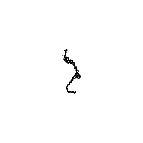 CCCCC/C=C\C/C=C\CCCCCCCCOCOCC(CN1CCCCC1)OCCOCCO[C@H]1CC[C@@]2(C)C(=CC[C@@H]3C2CC[C@]2(C)[C@@H]([C@H](C)CCCC(C)C)CC[C@@H]32)C1